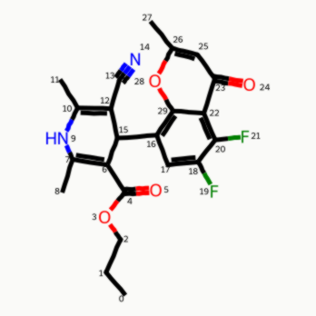 CCCOC(=O)C1=C(C)NC(C)=C(C#N)C1c1cc(F)c(F)c2c(=O)cc(C)oc12